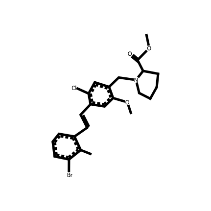 COC(=O)C1CCCCN1Cc1cc(Cl)c(C=Cc2cccc(Br)c2C)cc1OC